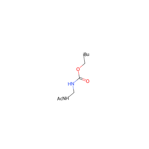 CCC(C)COC(=O)NCNC(C)=O